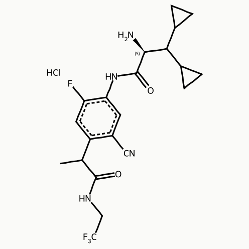 CC(C(=O)NCC(F)(F)F)c1cc(F)c(NC(=O)[C@@H](N)C(C2CC2)C2CC2)cc1C#N.Cl